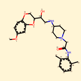 COc1ccc2c(c1)OC(C(O)CNC1CCN(CC(=O)Nc3c(C)cccc3C)CC1)CO2